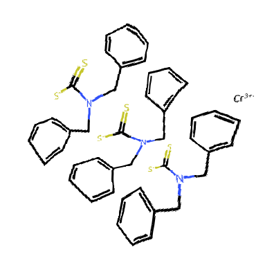 S=C([S-])N(Cc1ccccc1)Cc1ccccc1.S=C([S-])N(Cc1ccccc1)Cc1ccccc1.S=C([S-])N(Cc1ccccc1)Cc1ccccc1.[Cr+3]